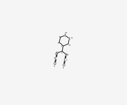 O=C=NC(N=C=O)C1CCSSC1